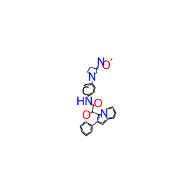 CON=C1CCN(c2ccc(NC(=O)C(=O)c3c(-c4ccccc4)cc4ccccn34)cc2)C1